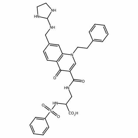 O=C(NCC(NS(=O)(=O)c1ccccc1)C(=O)O)c1cn(CCc2ccccc2)c2cc(CNC3NCCN3)ccc2c1=O